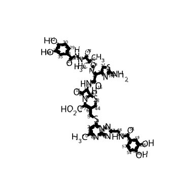 Cc1cc(SCC2=C(C(=O)O)N3C(=O)[C@@H](NC(=O)C(=NOC(C)(C)C(=O)NNC(=O)c4ccc(O)c(O)c4)c4csc(N)n4)[C@H]3SC2)n2nc(CNC(=O)c3ccc(O)c(O)c3)nc2n1